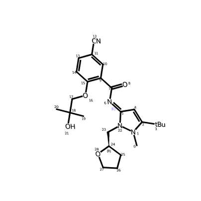 Cn1c(C(C)(C)C)c/c(=N\C(=O)c2cc(C#N)ccc2OCC(C)(C)O)n1C[C@H]1CCCO1